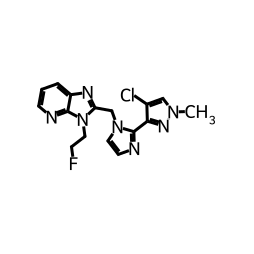 Cn1cc(Cl)c(-c2nccn2Cc2nc3cccnc3n2CCF)n1